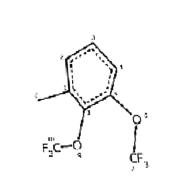 Cc1[c]ccc(OC(F)(F)F)c1OC(F)(F)F